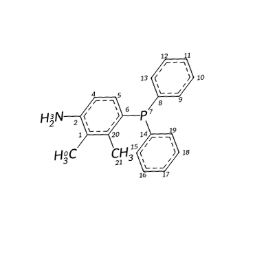 Cc1c(N)ccc(P(c2ccccc2)c2ccccc2)c1C